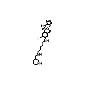 O=S(=O)(Nc1nccs1)c1cc(Cl)c(NCCCCCNCC2CCCNC2)cc1F